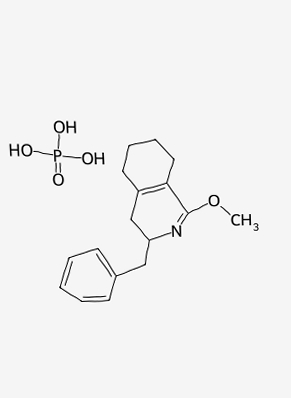 COC1=NC(Cc2ccccc2)CC2=C1CCCC2.O=P(O)(O)O